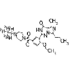 [2H]C([2H])([2H])C([2H])([2H])N1CCN(S(=O)(=O)c2ccc(OCC)c(-c3nn4c(CCC)nc(C)c4c(=O)[nH]3)c2)CC1